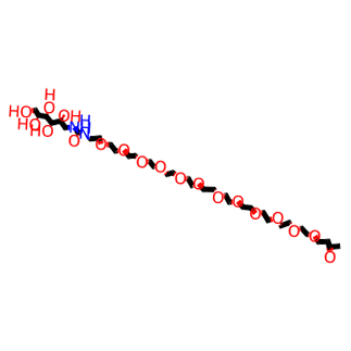 CC(=O)CCOCCOCCOCCOCCOCCOCCOCCOCCOCCOCCOCCOCCNC(=O)NC[C@H](O)[C@@H](O)[C@H](O)[C@H](O)CO